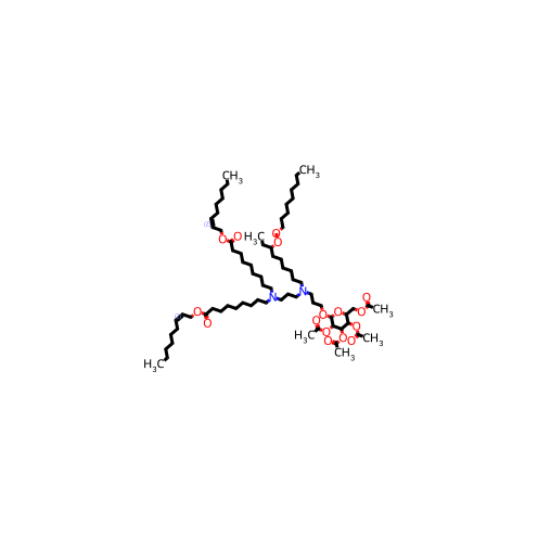 CCCCCC/C=C\COC(=O)CCCCCCCCN(CCCCCCCCC(=O)OC/C=C\CCCCCC)CCCN(CCCCCCC(CC)OOCCCCCCCCC)CCCOC1OC(COC(C)=O)C(OC(C)=O)C(OC(C)=O)C1OC(C)=O